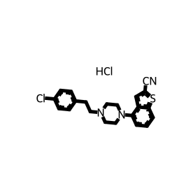 Cl.N#Cc1cc2c(N3CCN(CCc4ccc(Cl)cc4)CC3)cccc2s1